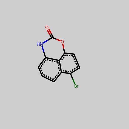 O=C1Nc2cccc3c(Br)ccc(c23)O1